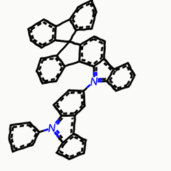 c1ccc(-n2c3ccccc3c3cc(-n4c5ccccc5c5ccc6c(c54)-c4ccccc4C64c5ccccc5-c5ccccc54)ccc32)cc1